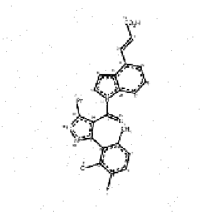 Cc1ccc(F)c(Cl)c1-c1noc(C(C)C)c1C(=O)n1ccc2c(/C=C/C(=O)O)cccc21